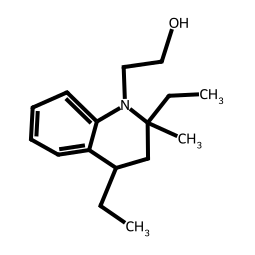 CCC1CC(C)(CC)N(CCO)c2ccccc21